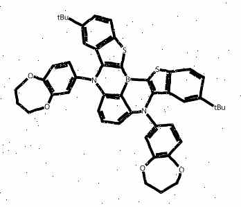 CC(C)(C)c1ccc2sc3c(c2c1)N(c1ccc2c(c1)OCCCO2)c1cccc2c1B3c1sc3ccc(C(C)(C)C)cc3c1N2c1ccc2c(c1)OCCCO2